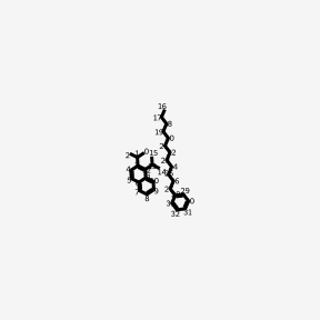 CC(C)c1ccc2ccccc2c1C(C)C.CCCCCCCCCCCCc1ccccc1